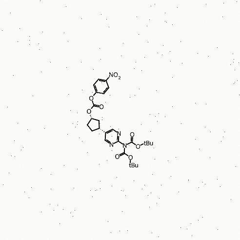 CC(C)(C)OC(=O)N(C(=O)OC(C)(C)C)c1ncc([C@@H]2CC[C@H](OC(=O)Oc3ccc([N+](=O)[O-])cc3)C2)cn1